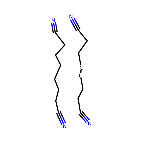 N#CCCCCCCC#N.N#CCCCCCCC#N